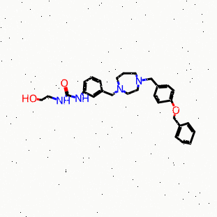 O=C(NCCO)Nc1cccc(CN2CCCN(Cc3ccc(OCc4ccccc4)cc3)CC2)c1